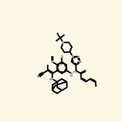 C=Nc1c(Cl)cc(N[C@@H](C(=C)/C=C\C=C/C)c2cn(C3CCN(C(C)(C)C)CC3)nn2)cc1/C(NC12CC3CC(CC(C3)C1)C2)=C(\C)C#N